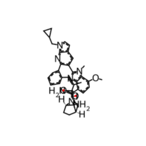 COc1ccc(C(=O)N2C[C@H]3CC[C@@H]2[C@@H]3N)c2nc(-c3cc4ccn(CC5CC5)c4nc3-c3ccccc3C=C(C)C(N)=O)n(C)c12